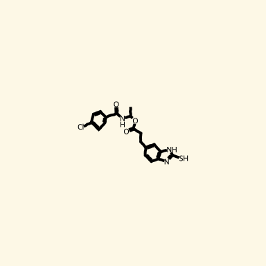 CC(NC(=O)c1ccc(Cl)cc1)OC(=O)CCc1ccc2nc(S)[nH]c2c1